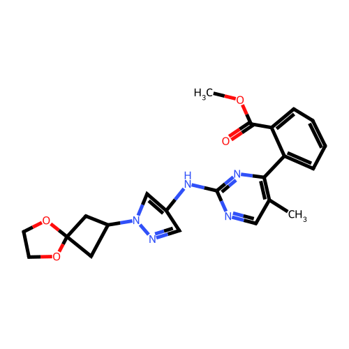 COC(=O)c1ccccc1-c1nc(Nc2cnn(C3CC4(C3)OCCO4)c2)ncc1C